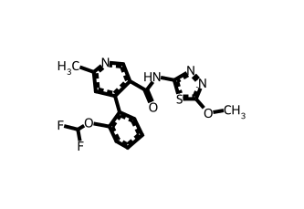 COc1nnc(NC(=O)c2cnc(C)cc2-c2ccccc2OC(F)F)s1